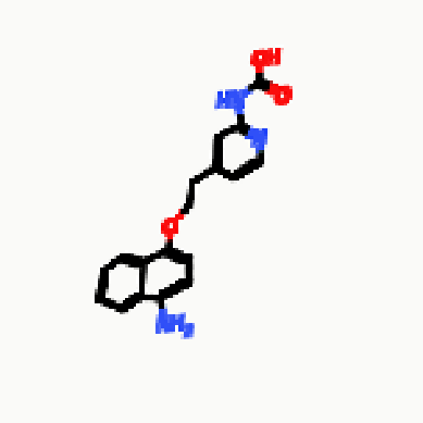 Nc1ccc(OCCc2ccnc(NC(=O)O)c2)c2ccccc12